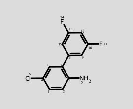 Nc1ccc(Cl)cc1-c1cc(F)[c]c(F)c1